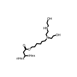 CCCCCCC(CCCCCC)CC(=O)OCCCCCCN(CCO)CCNCCO